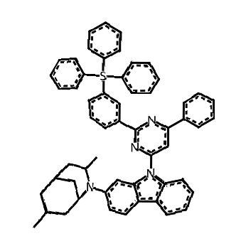 CC1CC2CC(C)N(c3ccc4c5ccccc5n(-c5cc(-c6ccccc6)nc(-c6cccc(S(c7ccccc7)(c7ccccc7)c7ccccc7)c6)n5)c4c3)C(C1)C2